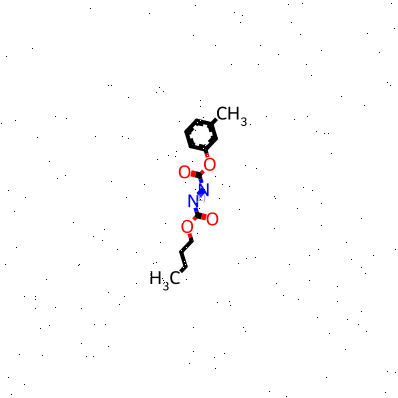 CCCCOC(=O)/N=N/C(=O)Oc1cccc(C)c1